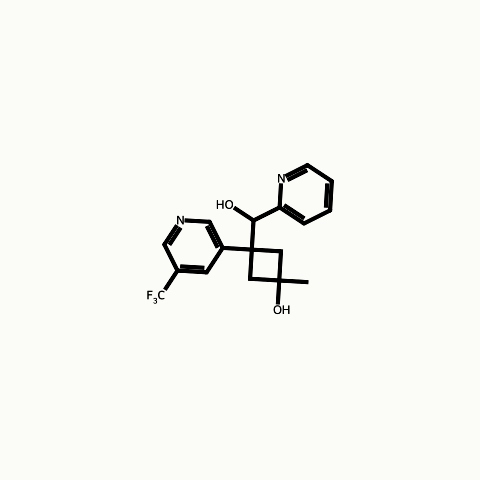 CC1(O)CC(c2cncc(C(F)(F)F)c2)(C(O)c2ccccn2)C1